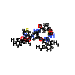 Cc1cccc(C)c1-c1cc2nc(n1)NS(=O)(=O)c1cccc(c1)C(=O)NCC1(CCN(C(=O)C3CSCCN3C(=O)OC(C)(C)C)CC1)CO2